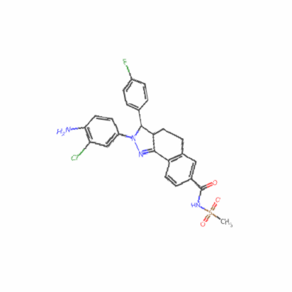 CS(=O)(=O)NC(=O)c1ccc2c(c1)CCC1C2=NN(c2ccc(N)c(Cl)c2)C1c1ccc(F)cc1